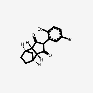 CCc1ccc(Br)cc1C1C(=O)[C@@H]2[C@H]3CC[C@H](C3)[C@@H]2C1=O